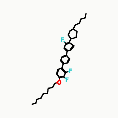 CCCCCCCCCOc1ccc(-c2ccc(-c3ccc(C4CCC(CCCCC)CC4)c(F)c3)cc2)c(F)c1F